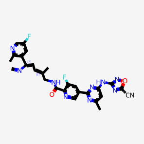 C=N/C(=C\C=C(/C)CNC(=O)c1ncc(-c2nc(C)cc(Nc3noc(C#N)n3)n2)cc1F)c1cc(F)cnc1C